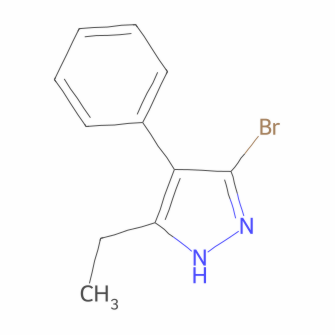 CCc1[nH]nc(Br)c1-c1ccccc1